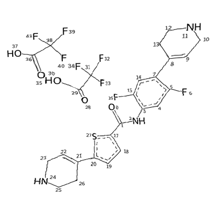 O=C(Nc1cc(F)c(C2=CCNCC2)cc1F)c1ccc(C2=CCNCC2)s1.O=C(O)C(F)(F)F.O=C(O)C(F)(F)F